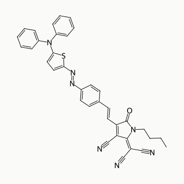 CCCCN1C(=O)C(/C=C/c2ccc(/N=N/c3ccc(N(c4ccccc4)c4ccccc4)s3)cc2)=C(C#N)C1=C(C#N)C#N